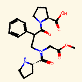 COC(=O)CN(CC(C(=O)N1CCC[C@H]1C(=O)O)c1ccccc1)C(=O)[C@@H]1CCCN1